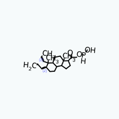 C=C/C=C1/CCC2C(CCC3(C)C(C(=O)COPO)CCC23)C1(C)/C=C\C